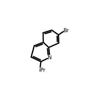 CC(C)c1ccc2ccc(Br)cc2n1